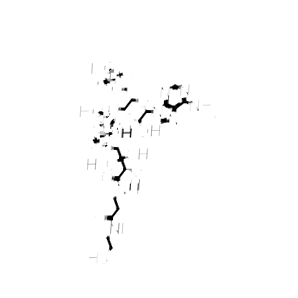 C[C@H](O)[C@@H](O[C@@H](COP(=O)(O)O)COP(=O)(O)OP(=O)(O)OCC(C)(C)[C@@H](O)C(=O)NCCC(=O)NCCS)n1cnc2c(N)ncnc21